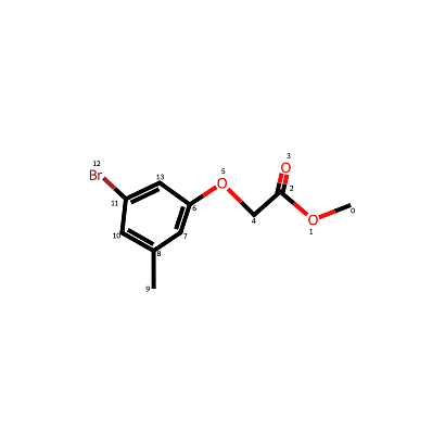 COC(=O)COc1cc(C)cc(Br)c1